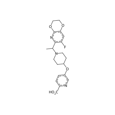 CC(c1nc2c(cc1F)OCCO2)N1CCC(Oc2ccc(C(=O)O)nc2)CC1